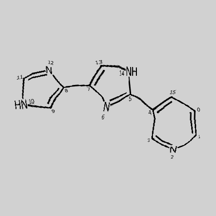 c1cncc(-c2nc(-c3c[nH]cn3)c[nH]2)c1